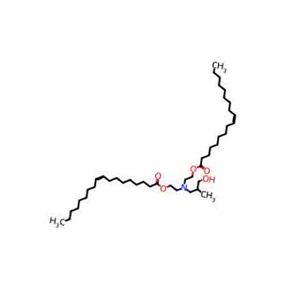 CCCCCCCC/C=C\CCCCCCCC(=O)OCCN(CCOC(=O)CCCCCCC/C=C\CCCCCCCC)CC(C)CO